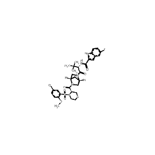 COc1ccc(Cl)cc1S(=O)(=O)N1CCOC[C@@H]1C(=O)N1C[C@@H]2C[C@H]1CN2C(=O)[C@@H](NC(=O)c1cc2cc(F)ccc2[nH]1)C(C)(C)C